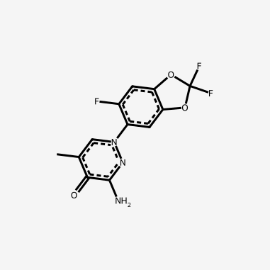 Cc1cn(-c2cc3c(cc2F)OC(F)(F)O3)nc(N)c1=O